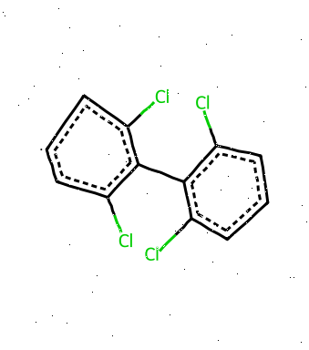 Clc1c[c]cc(Cl)c1-c1c(Cl)cccc1Cl